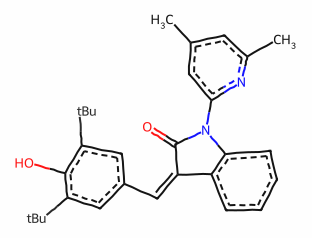 Cc1cc(C)nc(N2C(=O)C(=Cc3cc(C(C)(C)C)c(O)c(C(C)(C)C)c3)c3ccccc32)c1